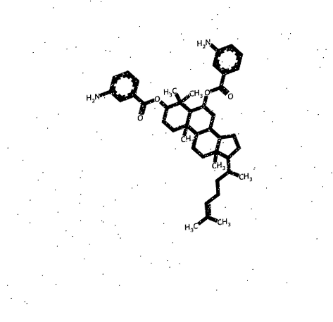 CC(C)=CCCC(C)C1CCC2C3CC(OC(=O)c4cccc(N)c4)C4C(C)(C)C(OC(=O)c5cccc(N)c5)CCC4(C)C3CCC12C